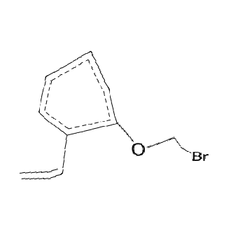 C=Cc1ccccc1OCBr